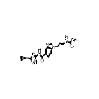 CCCC(=O)NCCCn1cnc2cc(C(=O)Nc3nnc(C4CC4)s3)ccc21